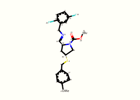 COc1ccc(CS[C@@H]2C[C@@H](C=NCc3cc(F)ccc3F)N(C(=O)OC(C)(C)C)C2)cc1